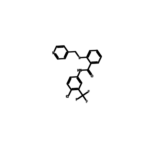 O=C(Nc1ccc(Cl)c(C(F)(F)F)c1)c1ccccc1SCc1ccncc1